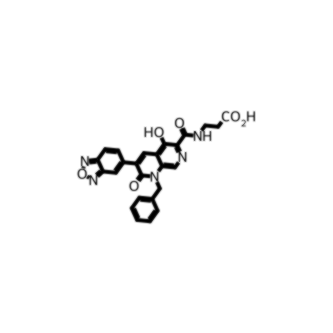 O=C(O)CCNC(=O)c1ncc2c(cc(-c3ccc4nonc4c3)c(=O)n2Cc2ccccc2)c1O